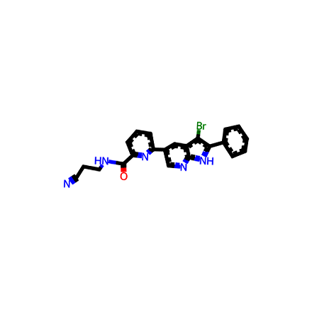 N#CCCNC(=O)c1cccc(-c2cnc3[nH]c(-c4ccccc4)c(Br)c3c2)n1